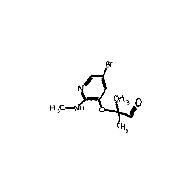 CNc1ncc(Br)cc1OC(C)(C)C=O